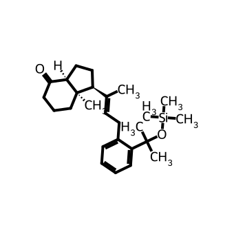 CC(=CCc1ccccc1C(C)(C)O[Si](C)(C)C)[C@@H]1CC[C@@H]2C(=O)CCC[C@@]21C